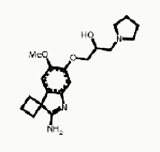 COc1cc2c(cc1OCC(O)CN1CCCC1)N=C(N)C21CCC1